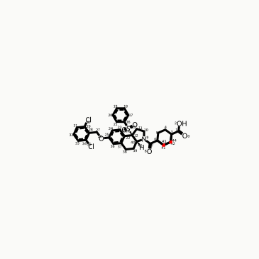 O=C(O)C12CCC(C(=O)N3CC[C@@]4(S(=O)(=O)c5ccccc5)c5ccc(OCc6c(Cl)cccc6Cl)cc5CC[C@@H]34)(CC1)CC2